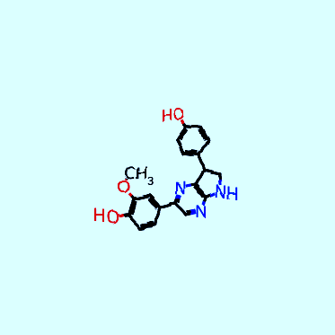 COc1cc(-c2cnc3c(n2)C(c2ccc(O)cc2)CN3)ccc1O